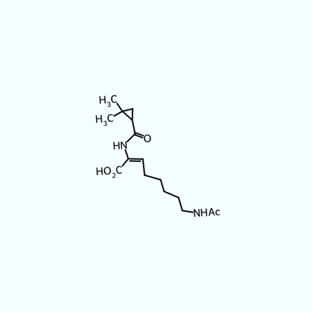 CC(=O)NCCCCCC=C(NC(=O)C1CC1(C)C)C(=O)O